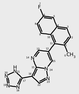 Cc1ccc2cc(F)ccc2c1-c1cnc2c(-c3nnn[nH]3)cnn2c1